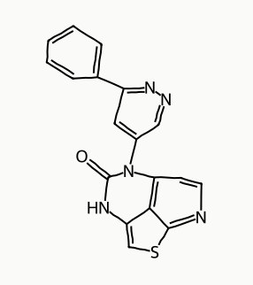 O=C1Nc2csc3nccc(c23)N1c1cnnc(-c2ccccc2)c1